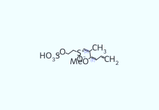 C=C/C=C(OC)\C(C)=C/[S+]([O-])CCOS(=O)(=O)O